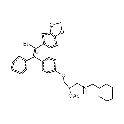 CC/C(=C(\c1ccccc1)c1ccc(OCC(CNCC2CCCCC2)OC(C)=O)cc1)c1ccc2c(c1)OCO2